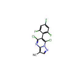 N#Cc1cnn2c(Cl)c(-c3c(F)cc(F)cc3F)c(Cl)nc12